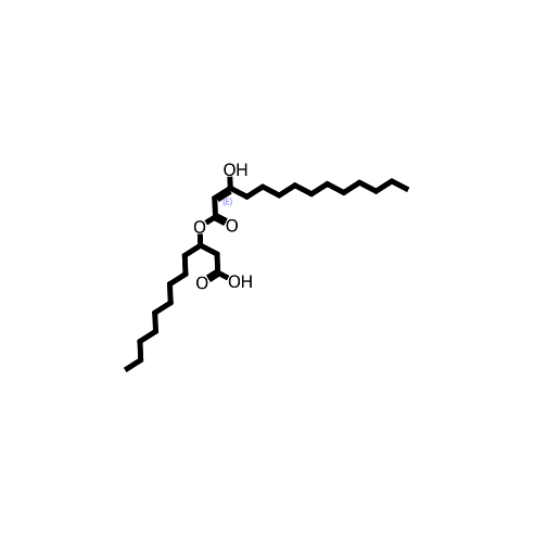 CCCCCCCCCCC/C(O)=C\C(=O)OC(CCCCCCCCC)CC(=O)O